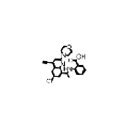 C#Cc1cc(N2CCOCC2)nc2c(C(C)Nc3ccccc3C(=O)O)cc(Cl)cc12